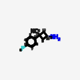 N#C[C@]1(c2ccc(F)cc2)C[C@@H](N)C1